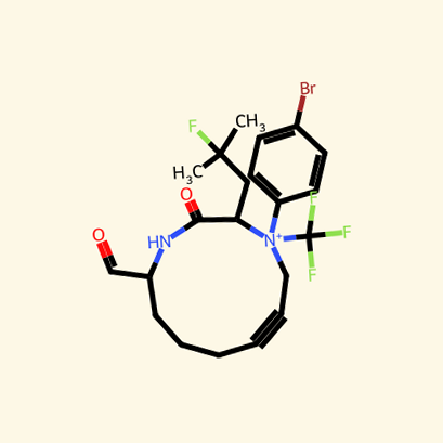 CC(C)(F)CC1C(=O)NC(C=O)CCCC#CC[N+]1(c1ccc(Br)cc1)C(F)(F)F